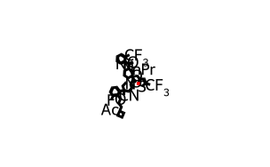 CCC[C@H]1N(C(=O)c2ncccc2C(F)(F)F)CCC[C@@]1(Oc1csc(C(F)(F)F)c1)C(=O)N1CCC(C#N)(c2cccc(F)c2OCCC2(C(C)=O)CCC2)CC1